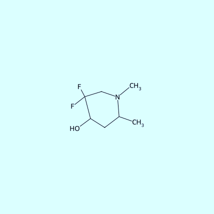 CC1CC(O)C(F)(F)CN1C